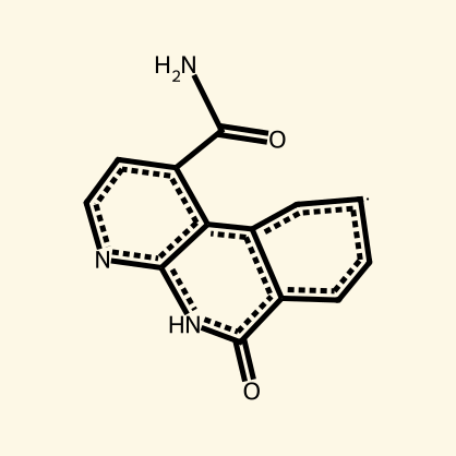 NC(=O)c1ccnc2[nH]c(=O)c3cc[c]cc3c12